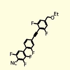 CCOCc1cc(F)c(C#Cc2ccc(-c3cc(F)c(C#N)c(F)c3F)c(F)c2)c(F)c1